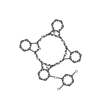 Clc1ccc(Cl)[c]([Cu][c]2cccc3c4nc5nc(nc6[nH]c(nc7nc(nc([nH]4)c23)-c2ccccc2-7)c2ccccc62)-c2ccccc2-5)c1